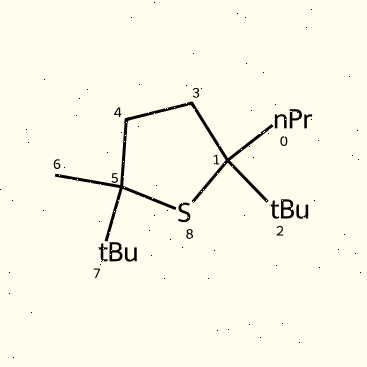 CCCC1(C(C)(C)C)CCC(C)(C(C)(C)C)S1